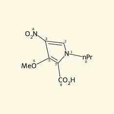 CCCn1cc([N+](=O)[O-])c(OC)c1C(=O)O